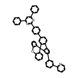 c1ccc(-c2cc(-c3ccccc3)nc(-c3ccc(-c4ccc5c(c4)C4(c6ccccc6Oc6ccccc64)c4cc(-c6cccc(-c7ccccn7)c6)ccc4-5)cc3)n2)cc1